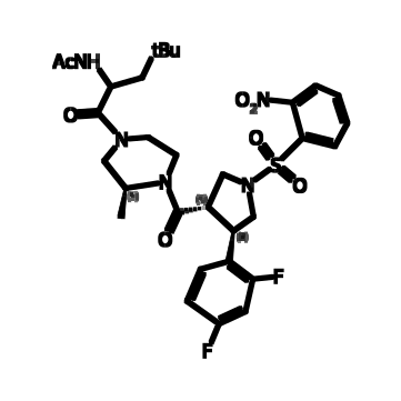 CC(=O)NC(CC(C)(C)C)C(=O)N1CCN(C(=O)[C@@H]2CN(S(=O)(=O)c3ccccc3[N+](=O)[O-])C[C@H]2c2ccc(F)cc2F)[C@@H](C)C1